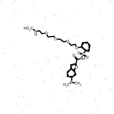 CN(C)c1ccc2cc(C(=O)NS(=O)(=O)c3ccccc3OCCOCCOCCOCCNC(=O)O)oc2c1